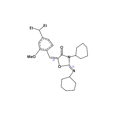 CCC(CC)c1ccc(/C=C2/O/C(=N\C3CCCCC3)N(C3CCCCC3)C2=O)c(OC)c1